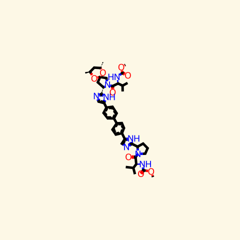 COC(=O)N[C@H](C(=O)N1CCCC1c1ncc(-c2ccc(-c3ccc(-c4cnc([C@@H]5CC6(CN5C(=O)[C@@H](NC(=O)OC)C(C)C)O[C@@H](C)C[C@H](C)O6)[nH]4)cc3)cc2)[nH]1)C(C)C